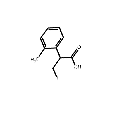 Cc1ccccc1C(CI)C(=O)O